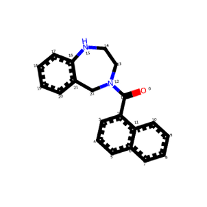 O=C(c1cccc2ccccc12)N1CCNc2ccccc2C1